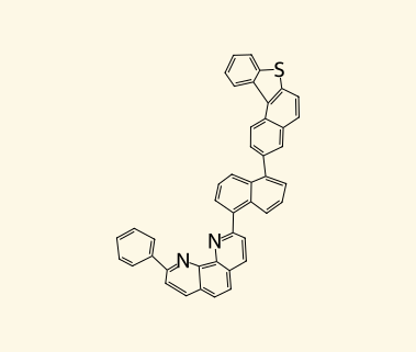 c1ccc(-c2ccc3ccc4ccc(-c5cccc6c(-c7ccc8c(ccc9sc%10ccccc%10c98)c7)cccc56)nc4c3n2)cc1